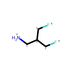 N[CH][C](CF)CF